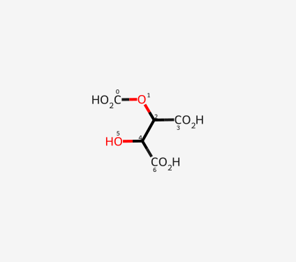 O=C(O)OC(C(=O)O)C(O)C(=O)O